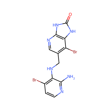 Nc1nccc(Br)c1NCc1cnc2[nH]c(=O)[nH]c2c1Br